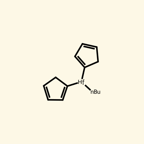 CCC[CH2][Hf]([C]1=CC=CC1)[C]1=CC=CC1